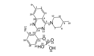 Cc1ccc2c(N3CCC(C)CC3)nc(-c3c(F)cccc3OP(=O)(O)O)nc2c1